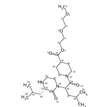 COCCOCCOC(=O)C1CCN(C(=O)C(CC(C)C)N2CCN[C@@H](CC(C)C)C2=O)CC1